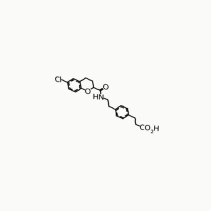 O=C(O)CCc1ccc(CCNC(=O)C2CCc3cc(Cl)ccc3O2)cc1